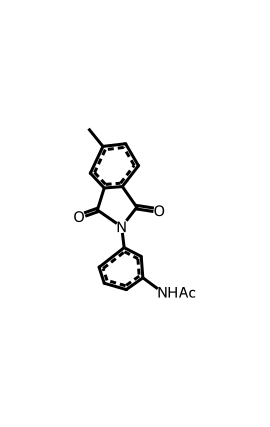 CC(=O)Nc1cccc(N2C(=O)c3ccc(C)cc3C2=O)c1